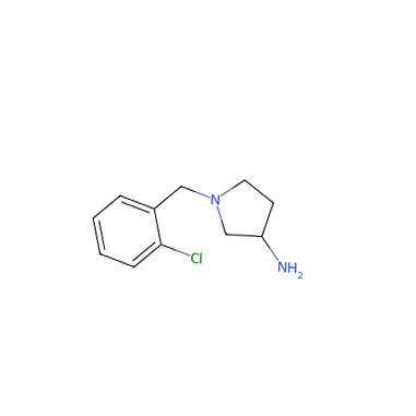 NC1CCN(Cc2ccccc2Cl)C1